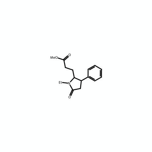 CCN1C(=O)CC(c2ccccc2)C1CCC(=O)OC